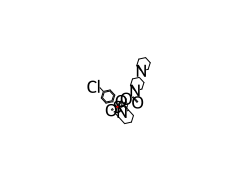 O=C(O[C@@H]1CCC2CCCC1N2S(=O)(=O)c1ccc(Cl)cc1)N1CCC(N2CCCCC2)CC1